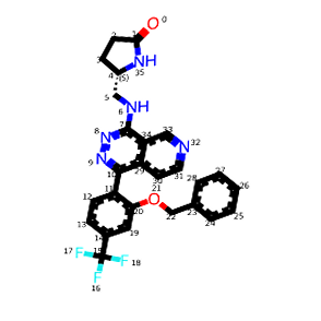 O=C1CC[C@@H](CNc2nnc(-c3ccc(C(F)(F)F)cc3OCc3ccccc3)c3ccncc23)N1